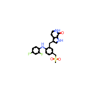 CS(=O)(=O)Cc1ccc(Nc2ccc(F)cc2F)c(Cc2c[nH]c3c(=O)[nH]ccc23)c1